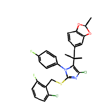 CC1Oc2ccc(C(C)(C)c3c(Cl)nc(SCc4c(F)cccc4Cl)n3-c3ccc(F)cc3)cc2O1